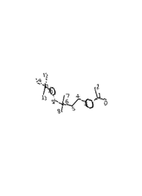 CC(C)OCCC(C)(C)COC(C)(C)C